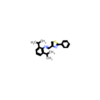 CC(C)c1cccc(C(C)C)c1/N=C/c1csc(-c2ccccc2)n1